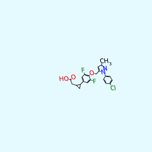 Cc1cc(COc2c(F)cc(C3CC3CC(=O)O)cc2F)n(-c2ccc(Cl)cc2)n1